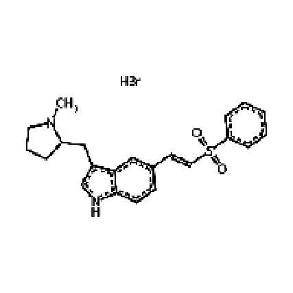 Br.CN1CCCC1Cc1c[nH]c2ccc(C=CS(=O)(=O)c3ccccc3)cc12